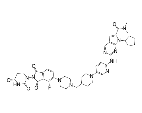 CN(C)C(=O)c1cc2cnc(Nc3ccc(N4CCC(CN5CCN(c6ccc7c(c6F)C(=O)N(N6CCC(=O)NC6=O)C7=O)CC5)CC4)cn3)nc2n1C1CCCC1